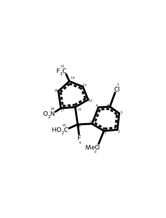 COc1ccc(Cl)cc1C(F)(C(=O)O)c1ccc(C(F)(F)F)cc1[N+](=O)[O-]